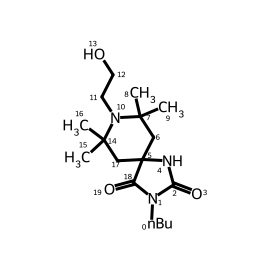 CCCCN1C(=O)NC2(CC(C)(C)N(CCO)C(C)(C)C2)C1=O